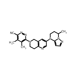 Cc1c(C#N)nnc(N2CCc3ncc(N4CCC(C)n5nccc54)cc3C2)c1C